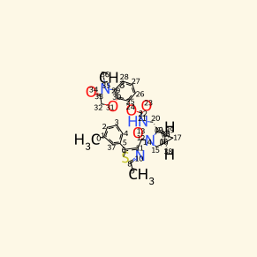 Cc1cccc(-c2sc(C)nc2C(=O)N2C[C@@H]3C[C@@H]3[C@H]2CNC(=O)Oc2cccc3c2OCC(=O)N3C)c1